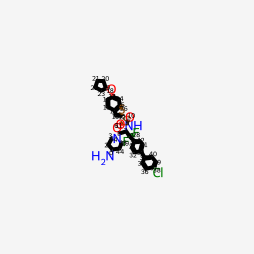 NC1CCN(C(=O)[C@H](NS(=O)(=O)c2cc3ccc(OC4CCCC4)cc3s2)C(F)(F)c2ccc(-c3ccc(Cl)cc3)cc2)CC1